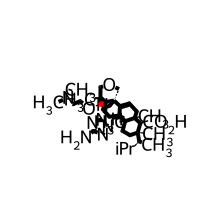 CC(C)[C@@H](C)[C@@]1(C)CC[C@]2(C)[C@H]3CC[C@@H]4[C@@]5(COC[C@@]4(C)[C@@H](OCCN(C)C)[C@H](n4nnc(N)n4)C5)C3=CC[C@@]2(C)[C@@H]1C(=O)O